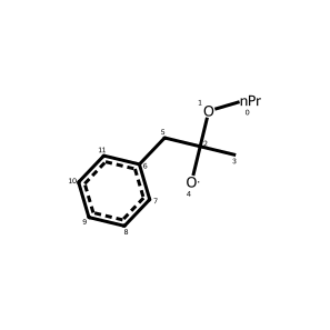 CCCOC(C)([O])Cc1ccccc1